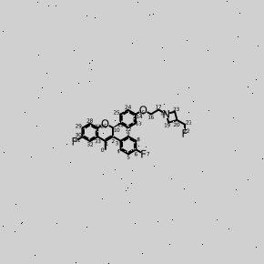 CC1=C(c2ccc(F)cc2)[C@H](c2ccc(OCCN3CC(CF)C3)cc2)Oc2ccc(F)cc21